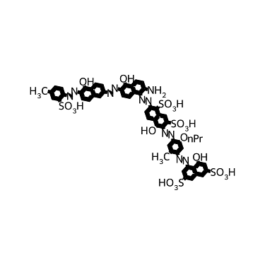 CCCOc1cc(N=Nc2cc(S(=O)(=O)O)cc3cc(S(=O)(=O)O)cc(O)c23)c(C)cc1N=Nc1c(S(=O)(=O)O)cc2c(S(=O)(=O)O)c(N=Nc3c(N)ccc4c(O)c(N=Nc5ccc6c(O)c(N=Nc7ccc(C)cc7S(=O)(=O)O)ccc6c5)ccc34)ccc2c1O